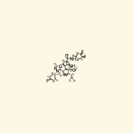 Cc1nnc(-c2c(CCc3ccc(F)cc3)nc(CC(C)C)c(C(N)=O)c2-c2ccc(C(=O)NCc3ccc(F)c(F)c3)o2)o1